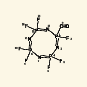 O=CP1(F)=NP(F)(F)=NP(F)(F)=NP(F)(F)=N1